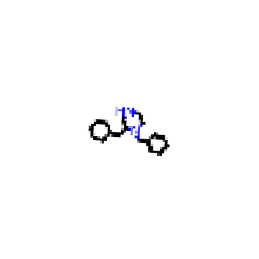 c1ccc(CN2CCNCC2CC2CCCCC2)cc1